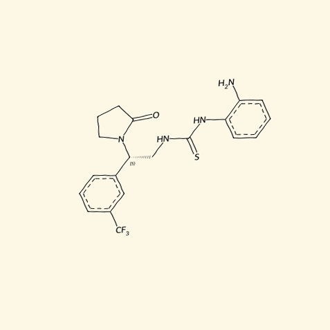 Nc1ccccc1NC(=S)NC[C@H](c1cccc(C(F)(F)F)c1)N1CCCC1=O